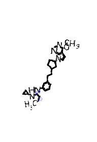 C/C=C\C(=N/c1cccc(CCC2CCC(n3ccc4c(OC)ncnc43)C2)c1)NC1CC1